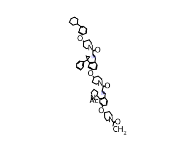 C=CC(=O)N1CCC(Oc2ccc(/C=C/C(=O)N3CCC(Oc4ccc(/C=C/C(=O)N5CCC(Oc6cccc(C7CCCCC7)c6)CC5)c(C5(c6ccccc6)CC5)c4)CC3)c(C3CCCN3C(C)=O)c2)CC1